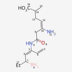 BC(/C=C(\C=C)NC(=O)C/C(N)=C\CC(C)C(=O)O)CC